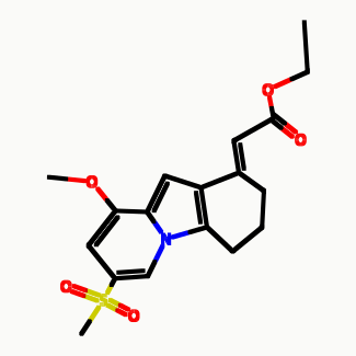 CCOC(=O)C=C1CCCc2c1cc1c(OC)cc(S(C)(=O)=O)cn21